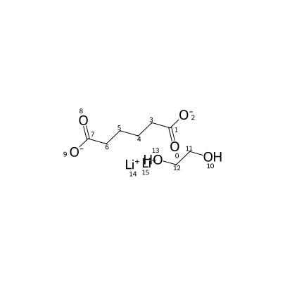 O=C([O-])CCCCC(=O)[O-].OCCO.[Li+].[Li+]